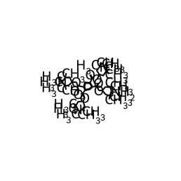 CN1C(C)(C)CC(OC(=O)c2cc(C(=O)OC3CC(C)(C)N(C)C(C)(C)C3)c(C(=O)OC3CC(C)(C)N(C)C(C)(C)C3)cc2C(=O)OC2CC(C)(C)C(N)C(C)(C)C2)CC1(C)C